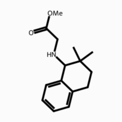 COC(=O)CNC1c2ccccc2CCC1(C)C